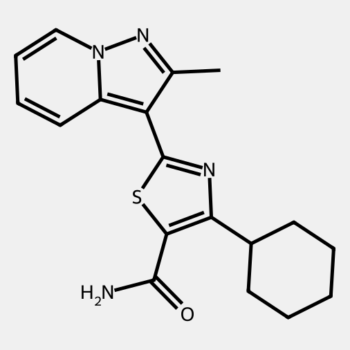 Cc1nn2ccccc2c1-c1nc(C2CCCCC2)c(C(N)=O)s1